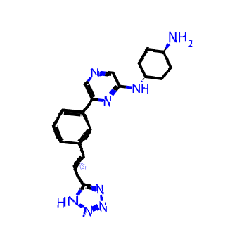 N[C@H]1CC[C@H](Nc2cncc(-c3cccc(/C=C/c4nnn[nH]4)c3)n2)CC1